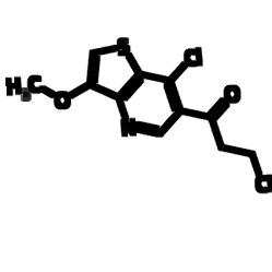 CCCC(=O)c1cnc2c(OC)csc2c1Cl